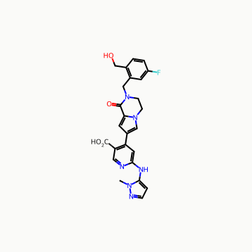 Cn1nccc1Nc1cc(-c2cc3n(c2)CCN(Cc2cc(F)ccc2CO)C3=O)c(C(=O)O)cn1